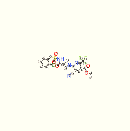 CCOC(=O)c1cc(C#N)c(N2CC(C(=O)NS(=O)(=O)Cc3ccccc3Cl)C2)nc1C(F)(F)F